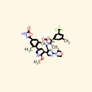 COc1ncc(-c2c(C)cc(-c3n[nH]c(=O)o3)cc2C)cc1-c1cnc(N2CCOCC2)nc1CN1C(=O)O[C@H](c2cc(C)cc(C(F)(F)F)c2)[C@@H]1C